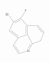 Fc1c(Br)cc2ccnc3c2c1C=CC3